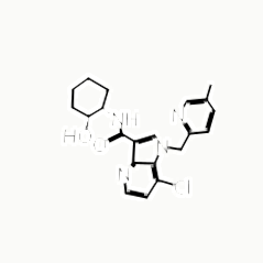 Cc1ccc(Cn2cc(C(=O)N[C@H]3CCCC[C@@H]3O)c3nccc(Cl)c32)nc1